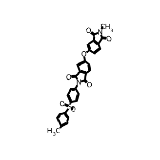 Cc1ccc(S(=O)(=O)c2ccc(N3C(=O)c4ccc(Oc5ccc6c(c5)C(=O)N(C)C6=O)cc4C3=O)cc2)cc1